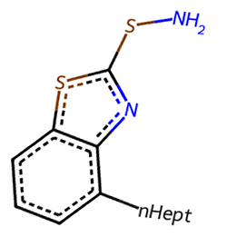 CCCCCCCc1cccc2sc(SN)nc12